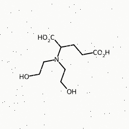 O=C(O)CCC(C(=O)O)N(CCO)CCO